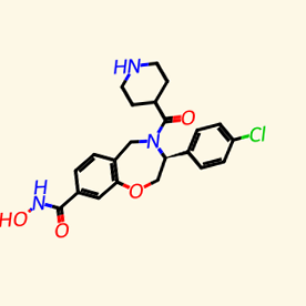 O=C(NO)c1ccc2c(c1)OC[C@H](c1ccc(Cl)cc1)N(C(=O)C1CCNCC1)C2